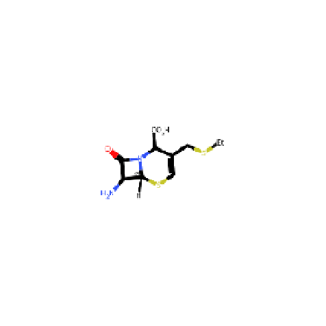 CCSCC1=CS[C@@H]2C(N)C(=O)N2C1C(=O)O